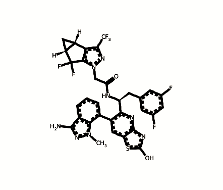 Cn1nc(N)c2cccc(-c3cc4sc(O)nc4nc3[C@H](Cc3cc(F)cc(F)c3)NC(=O)Cn3nc(C(F)(F)F)c4c3C(F)(F)[C@@H]3C[C@H]43)c21